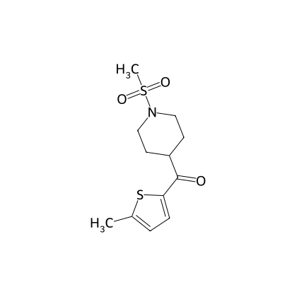 Cc1ccc(C(=O)C2CCN(S(C)(=O)=O)CC2)s1